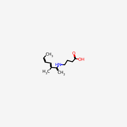 C=C(NCCCC(=O)O)/C(C)=C/C=C\C